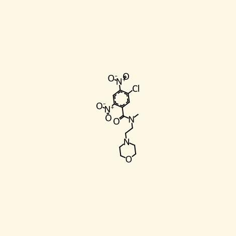 CN(CCN1CCOCC1)C(=O)c1cc(Cl)c([N+](=O)[O-])cc1[N+](=O)[O-]